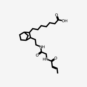 CC=CC(=O)NCC(=O)NCCC1C2CCC(C2)C1CCCCCCC(=O)O